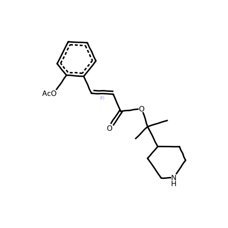 CC(=O)Oc1ccccc1/C=C/C(=O)OC(C)(C)C1CCNCC1